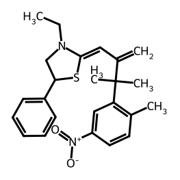 C=C(/C=C1\SC(c2ccccc2)CN1CC)C(C)(C)c1cc([N+](=O)[O-])ccc1C